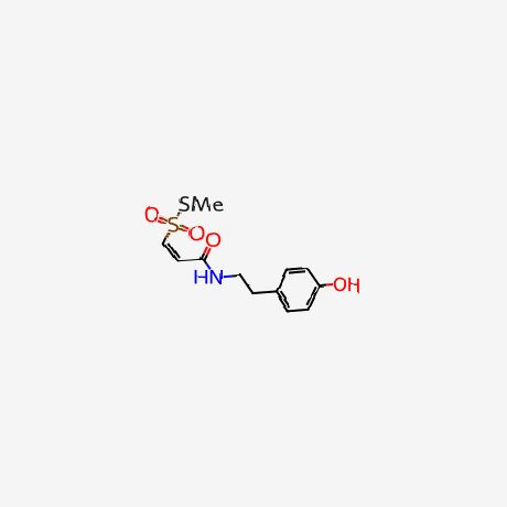 CSS(=O)(=O)/C=C\C(=O)NCCc1ccc(O)cc1